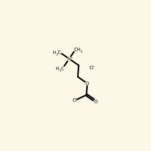 C[N+](C)(C)CCOC(=O)Cl.[Cl-]